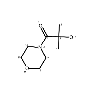 CC(C)([O])C(=O)N1CCOCC1